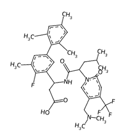 Cc1cc(C)c(-c2cc(C)c(F)c(C(CC(=O)O)NC(=O)C(CC(C)C)n3cc(CN(C)C)c(C(F)(F)F)cc3=O)c2)c(C)c1